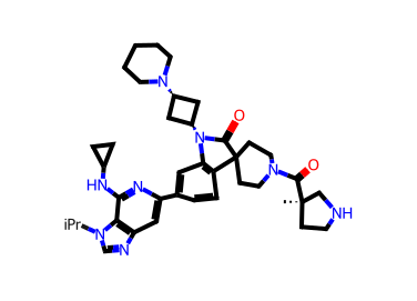 CC(C)n1cnc2cc(-c3ccc4c(c3)N([C@H]3C[C@@H](N5CCCCC5)C3)C(=O)C43CCN(C(=O)[C@]4(C)CCNC4)CC3)nc(NC3CC3)c21